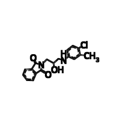 Cc1cc(NCC(O)CN2C(=O)c3ccccc3C2=O)ccc1Cl